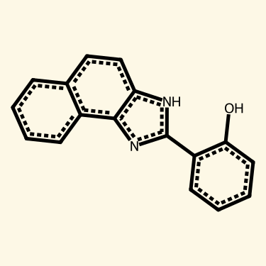 Oc1ccccc1-c1nc2c(ccc3ccccc32)[nH]1